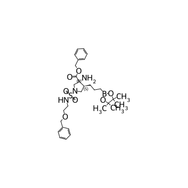 CC1(C)OB(CCC[C@H]2CN(S(=O)(=O)NCCOCc3ccccc3)C[C@@]2(N)C(=O)OCc2ccccc2)OC1(C)C